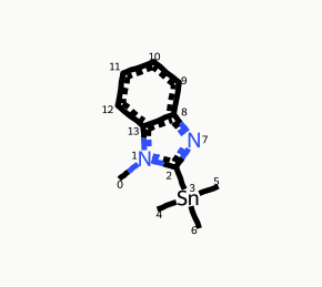 Cn1[c]([Sn]([CH3])([CH3])[CH3])nc2ccccc21